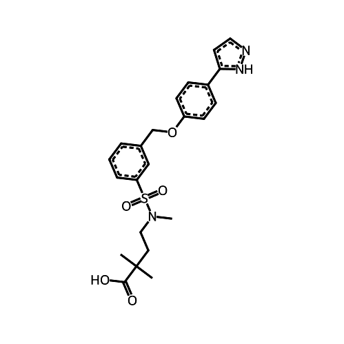 CN(CCC(C)(C)C(=O)O)S(=O)(=O)c1cccc(COc2ccc(-c3ccn[nH]3)cc2)c1